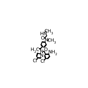 C=C(c1ccc(N(C)C(=O)CNC)cc1)N(C(=O)c1cc(Cl)ccc1N)c1ccc(Cl)cn1